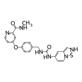 CNC(=O)c1cc(Oc2ccc(CNC(=O)NC3=CC4=CNSN4C=C3)cc2)ccn1